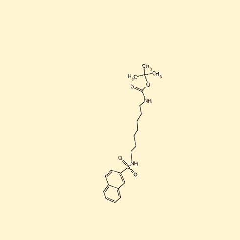 CC(C)(C)OC(=O)NCCCCCCCNS(=O)(=O)c1ccc2ccccc2c1